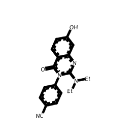 CCN(CC)c1nc2cc(O)ccc2c(=O)n1-c1ccc(C#N)cc1